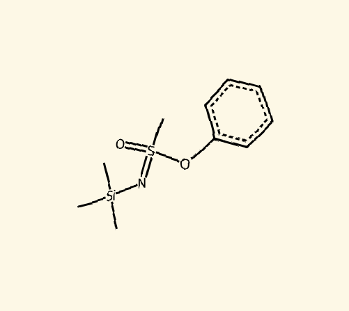 C[Si](C)(C)N=S(C)(=O)Oc1ccccc1